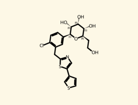 OCC[C@H]1O[C@@H](c2ccc(Cl)c(Cc3ncc(-c4ccsc4)s3)c2)[C@H](O)[C@H](O)[C@@H]1O